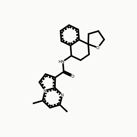 Cc1cc(C)n2ccc(C(=O)NC3CCC4(CCCO4)c4ccccc43)c2n1